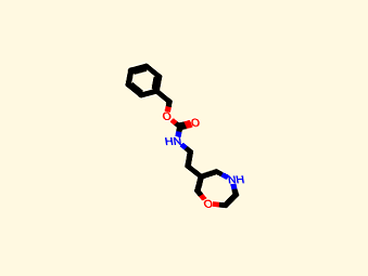 O=C(NCCC1CNCCOC1)OCc1ccccc1